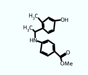 COC(=O)c1ccc(NC(C)c2ccc(O)cc2C)cc1